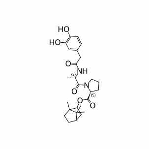 C[C@H](NC(=O)Cc1ccc(O)c(O)c1)C(=O)N1CCC[C@H]1C(=O)OC1CC2CCC1(C)C2(C)C